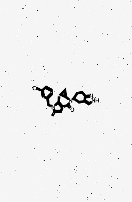 Cc1cc(C(=O)N(C2CC2)C2CCc3n[nH]cc3C2)c(C)n1Cc1cccc(Cl)c1